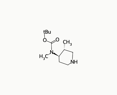 C[C@@H]1CNCC[C@H]1N(C)C(=O)OC(C)(C)C